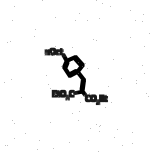 CCCCCCCCc1ccc(C=C(C(=O)OCC)C(=O)OCC)cc1